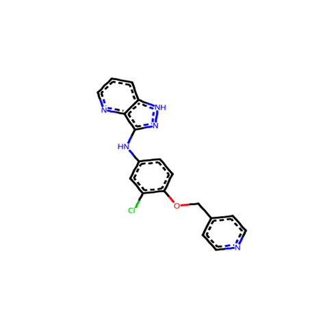 Clc1cc(Nc2n[nH]c3cccnc23)ccc1OCc1ccncc1